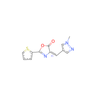 Cn1cc(/C=C2/N=C(c3cccs3)OC2=O)cn1